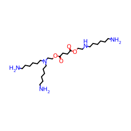 NCCCCCCNCCOC(=O)CCC(=O)OCCN(CCCCCCN)CCCCCCN